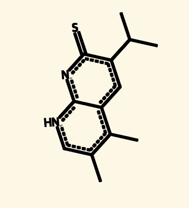 Cc1c[nH]c2nc(=S)c(C(C)C)cc-2c1C